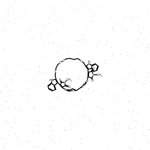 CN1C(=O)C2=C(C1=O)N1CCC(CC1)C1CCN(CC1)C1=C(C(=O)N(C)C1=O)c1c([nH]c3ccccc13)CCCCCCCCCCCCc1[nH]c3ccccc3c12